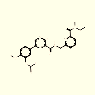 CCN(C)C(=O)c1cccc(CNC(=O)c2cncc(-c3ccc(OC)c(OC(C)C)c3)n2)n1